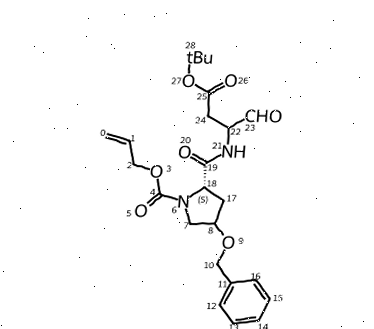 C=CCOC(=O)N1CC(OCc2ccccc2)C[C@H]1C(=O)NC(C=O)CC(=O)OC(C)(C)C